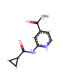 COC(=O)c1ccnc(NC(=O)C2CC2)c1